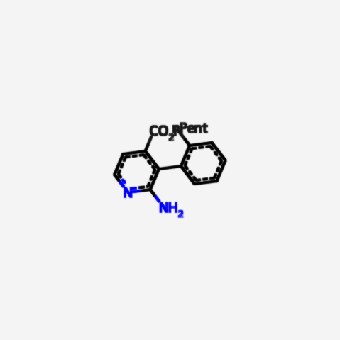 CCCCCc1ccccc1-c1c(C(=O)O)ccnc1N